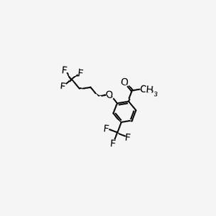 CC(=O)c1ccc(C(F)(F)F)cc1OCCCC(F)(F)F